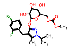 COC(=O)OC[C@H]1O[C@@H](Oc2nn(C(C)C)c(C)c2Cc2ccc(Br)cc2F)[C@H](O)[C@@H](O)[C@@H]1O